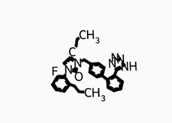 CCCCc1cn(-c2c(F)cccc2CCC)c(=O)n1Cc1ccc(-c2ccccc2-c2nnn[nH]2)cc1